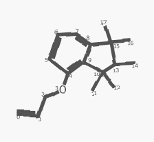 C=CCOc1cccc2c1C(C)(C)C(C)C2(C)C